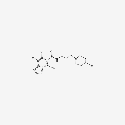 CCC1CCN(CCCNC(=O)c2c(O)c3ccsc3n(CC)c2=O)CC1